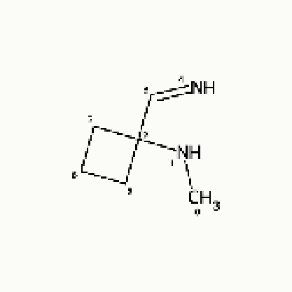 CNC1(C=N)CCC1